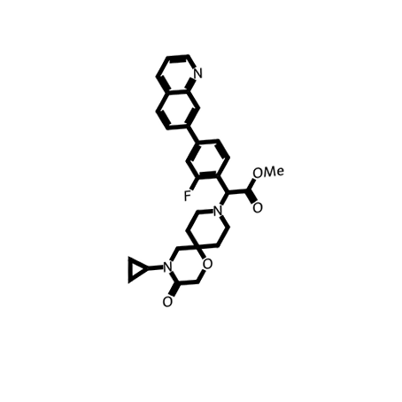 COC(=O)C(c1ccc(-c2ccc3cccnc3c2)cc1F)N1CCC2(CC1)CN(C1CC1)C(=O)CO2